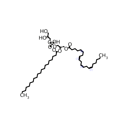 CCCCC/C=C\C/C=C\C/C=C\C/C=C\CCCC(=O)OC[C@H](COP(=O)(O)OC[C@@H](O)CO)OC(=O)CCCCCCCCCCCCCCCCCCC